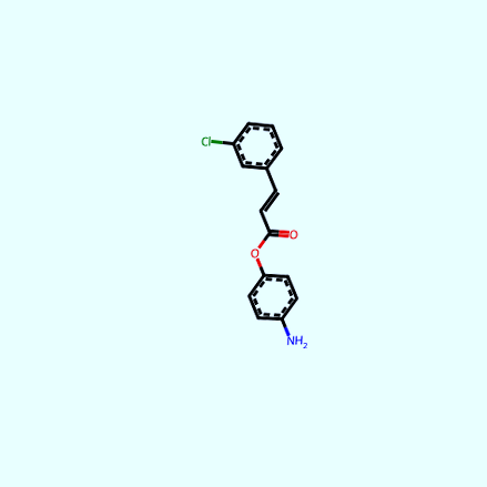 Nc1ccc(OC(=O)C=Cc2cccc(Cl)c2)cc1